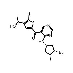 CC[C@H]1C[C@@H](Nc2ncncc2C(=O)c2cc(C(C)O)c(Cl)s2)C[C@@H]1C